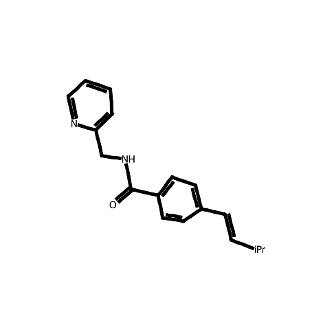 CC(C)/C=C/c1ccc(C(=O)NCc2ccccn2)cc1